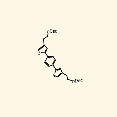 CCCCCCCCCCCCc1csc(-c2ccc(-c3cc(CCCCCCCCCCCC)cs3)cc2)c1